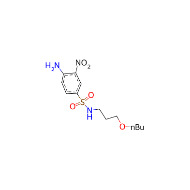 CCCCOCCCNS(=O)(=O)c1ccc(N)c([N+](=O)[O-])c1